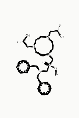 CCOP(=O)(CN1CCN(C[C@H](C)O)CCN(C[C@H](C)O)CC1)CN(Cc1ccccc1)Cc1ccccc1